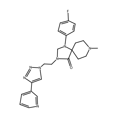 CN1CCC2(CC1)C(=O)N(CCn1cc(-c3cccnc3)nn1)CN2c1ccc(F)cc1